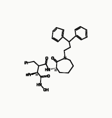 CCC[C@H](C(=O)NO)C(CC(C)C)C(=O)N[C@H]1CCCCN(CCC(c2ccccc2)c2ccccc2)C1=O